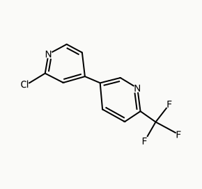 FC(F)(F)c1ccc(-c2ccnc(Cl)c2)cn1